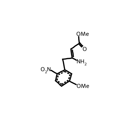 COC(=O)C=C(N)Cc1cc(OC)ccc1[N+](=O)[O-]